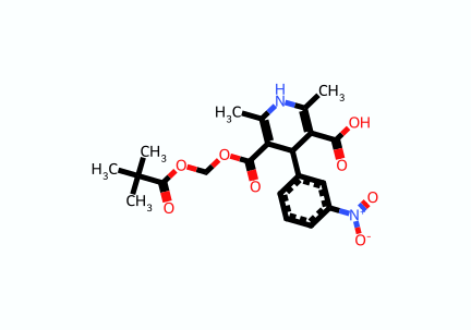 CC1=C(C(=O)O)C(c2cccc([N+](=O)[O-])c2)C(C(=O)OCOC(=O)C(C)(C)C)=C(C)N1